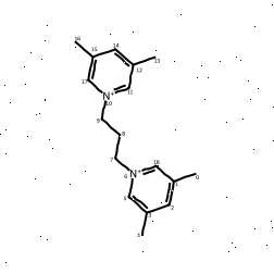 Cc1cc(C)c[n+](CCC[n+]2cc(C)cc(C)c2)c1